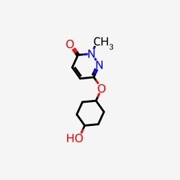 Cn1nc(OC2CCC(O)CC2)ccc1=O